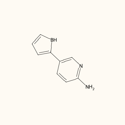 Nc1ccc(C2=CC=CB2)cn1